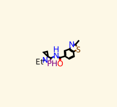 CCN1PC(NC(=O)c2ccc3sc(C)nc3c2)C12CC2